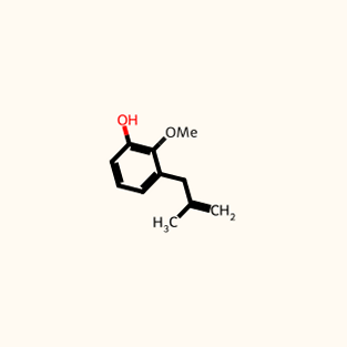 C=C(C)Cc1cccc(O)c1OC